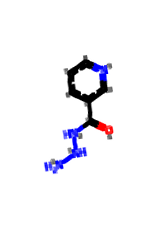 NNNC(=O)c1cccnc1